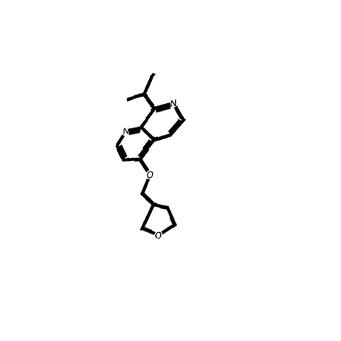 CC(C)c1nccc2c(OCC3CCOC3)ccnc12